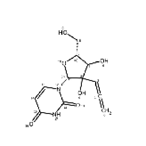 C=C=CC1(O)C(O)[C@@H](CO)O[C@H]1n1ccc(=O)[nH]c1=O